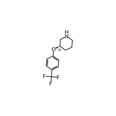 FC(F)(F)c1ccc(O[C@@H]2CCCNC2)cc1